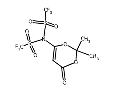 CC1(C)OC(=O)C=C(N(S(=O)(=O)C(F)(F)F)S(=O)(=O)C(F)(F)F)O1